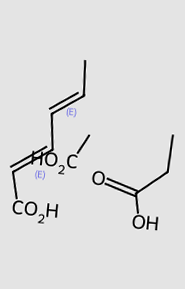 C/C=C/C=C/C(=O)O.CC(=O)O.CCC(=O)O